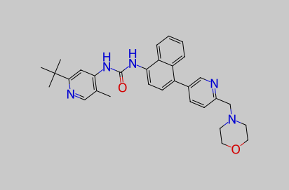 Cc1cnc(C(C)(C)C)cc1NC(=O)Nc1ccc(-c2ccc(CN3CCOCC3)nc2)c2ccccc12